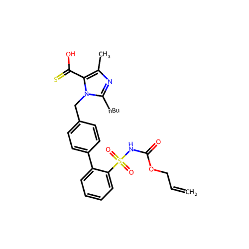 C=CCOC(=O)NS(=O)(=O)c1ccccc1-c1ccc(Cn2c(CCCC)nc(C)c2C(O)=S)cc1